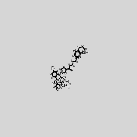 CC(C)(C)OC(=O)C(c1cc(F)ccc1COC1CCOC1)N1CC[C@@H](C(F)CCCCc2ccc3c(n2)NCCC3)C1